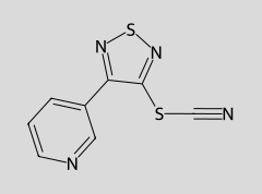 N#CSc1nsnc1-c1cccnc1